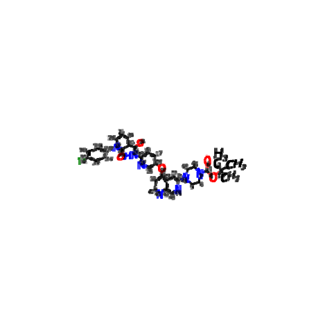 CC(C)(C)OC(=O)N1CCN(c2cc3c(Oc4ccc(NC(=O)c5cccn(-c6ccc(F)cc6)c5=O)nc4)ccnc3cn2)CC1